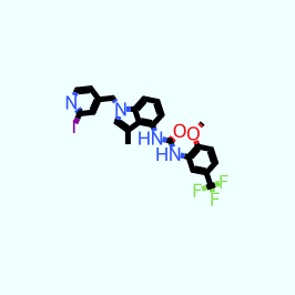 COc1ccc(C(F)(F)F)cc1NC(=O)Nc1cccc2c1c(C)cn2Cc1ccnc(I)c1